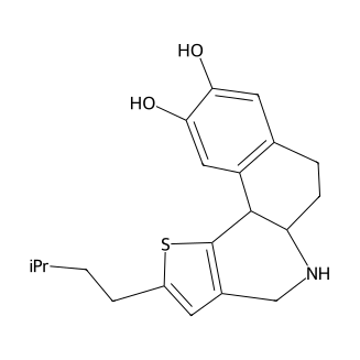 CC(C)CCc1cc2c(s1)C1c3cc(O)c(O)cc3CCC1NC2